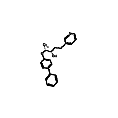 C[C@@H](Oc1ccc(-c2ccccc2)cc1)[C@@H](O)CCc1cccnc1